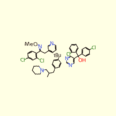 CC(Cc1ccc(C(C)(C)C)cc1)CN1CCCCC1.CON=C(Cc1cccnc1)c1ccc(Cl)cc1Cl.OC(c1ccc(Cl)cc1)(c1cncnc1)c1ccccc1Cl